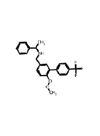 COOc1ccc(CNC(C)c2ccccc2)cc1-c1ccc(C(F)(F)F)cc1